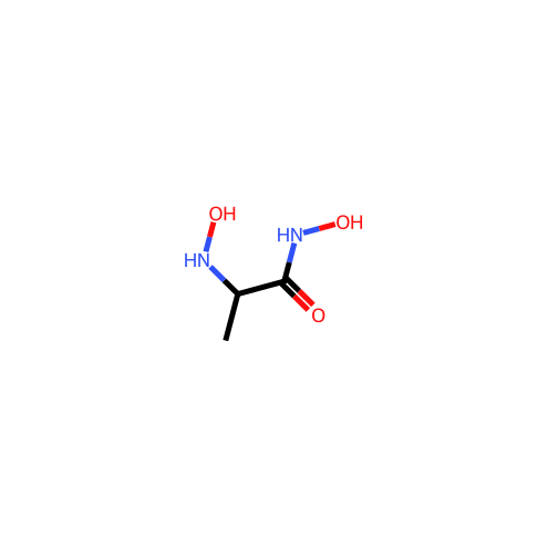 CC(NO)C(=O)NO